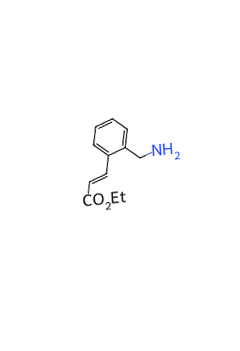 CCOC(=O)/C=C/c1ccccc1CN